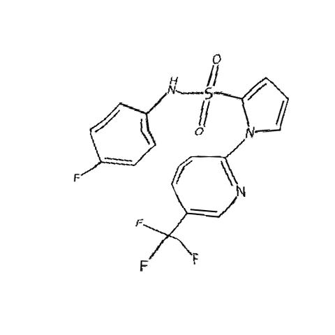 O=S(=O)(Nc1ccc(F)cc1)c1cccn1-c1ccc(C(F)(F)F)cn1